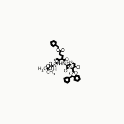 CC(C)(C)OC(=O)Nc1nc(C(=CCC(=O)OCc2ccccc2)C(=O)N[C@@H]2C(=O)N3C(C(=O)OC(c4ccccc4)c4ccccc4)C(Cl)=CS[C@@H]23)cs1